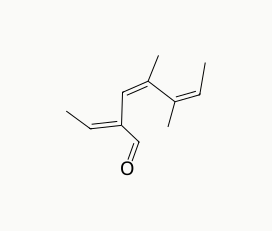 C\C=C(C)/C(C)=C\C(C=O)=C/C